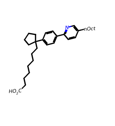 CCCCCCCCc1ccc(-c2ccc(C3(CCCCCCCC(=O)O)CCCC3)cc2)nc1